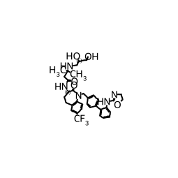 CC(C)(CC(=O)N[C@@H]1CCc2cc(C(F)(F)F)ccc2N(Cc2ccc(-c3ccccc3NC3=NCCO3)cc2)C1=O)NC[C@H](O)CO